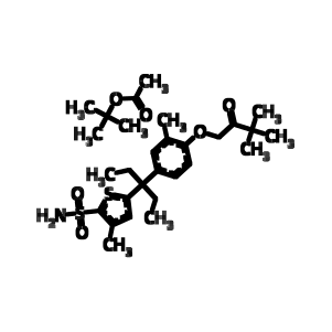 CC(=O)OC(C)(C)C.CCC(CC)(c1ccc(OCC(=O)C(C)(C)C)c(C)c1)c1cc(C)c(S(N)(=O)=O)s1